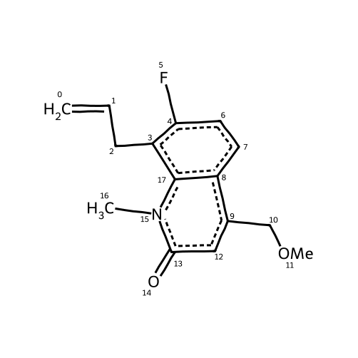 C=CCc1c(F)ccc2c(COC)cc(=O)n(C)c12